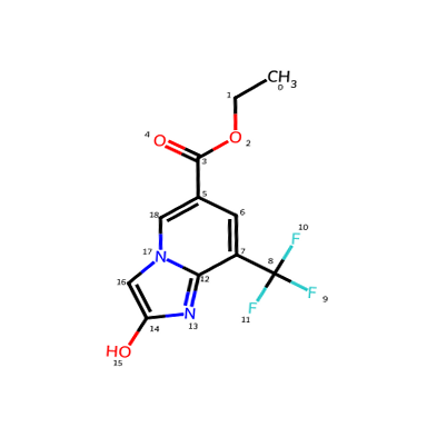 CCOC(=O)c1cc(C(F)(F)F)c2nc(O)cn2c1